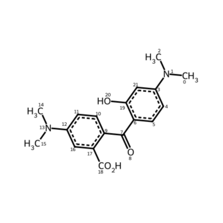 CN(C)c1ccc(C(=O)c2ccc(N(C)C)cc2C(=O)O)c(O)c1